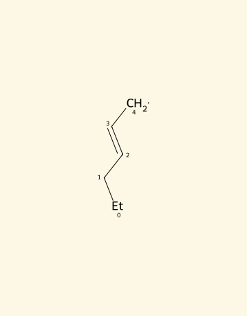 [CH]CCC=C[CH2]